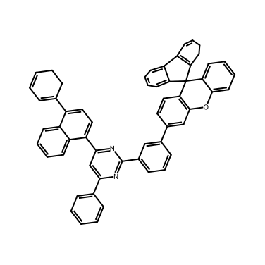 C1=CCCC(c2ccc(-c3cc(-c4ccccc4)nc(-c4cccc(-c5ccc6c(c5)Oc5ccccc5C65C6=C(C=CCC6)c6ccccc65)c4)n3)c3ccccc23)=C1